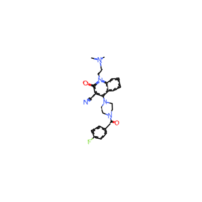 CN(C)CCn1c(=O)c(C#N)c(N2CCN(C(=O)c3ccc(F)cc3)CC2)c2ccccc21